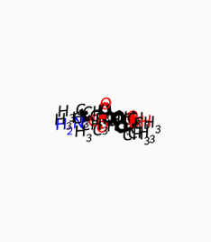 CO[C@@H]1C[C@@]23COC[C@@](C)([C@@H]2CC[C@H]2C3=CC[C@@]3(C)[C@H](C(=O)O)[C@@](C)([C@H](C)C(C)C)CC[C@]23C)[C@H]1OC[C@@](C)(N)C(C)(C)C